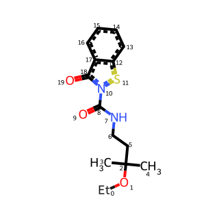 CCOC(C)(C)CCNC(=O)n1sc2ccccc2c1=O